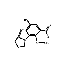 COc1c([N+](=O)[O-])cc(Br)c2nc3n(c12)CCC3